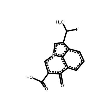 [CH2]C(F)c1cn2cc(C(=O)O)c(=O)c3cccc1c32